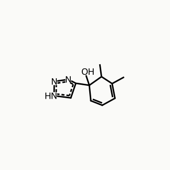 CC1=CC=CC(O)(c2c[nH]nn2)C1C